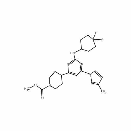 COC(=O)N1CCC(c2cc(-n3ccc(C)n3)nc(NC3CCC(F)(F)CC3)n2)CC1